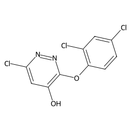 Oc1cc(Cl)nnc1Oc1ccc(Cl)cc1Cl